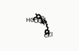 Cc1ccc(S(=O)(=O)N2[C@H](C)CN(CCCc3ccc(Cl)c(Cl)c3)C[C@@H]2C)cc1CC(=O)O